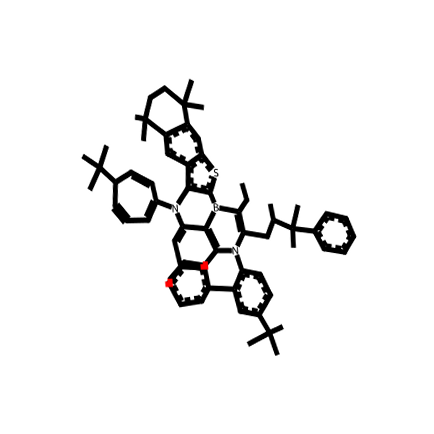 CCC1=C(CC(C)C(C)(C)c2ccccc2)N(c2ccc(C(C)(C)C)cc2-c2ccccc2)C2=C3B1c1sc4cc5c(cc4c1N(C1=CC#CC(C(C)(C)C)C=C1)C3=CC(C)C2)C(C)(C)CCC5(C)C